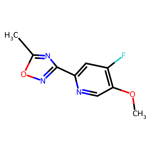 COc1cnc(-c2noc(C)n2)cc1F